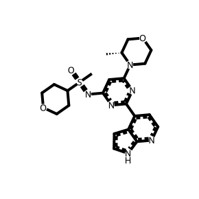 C[C@@H]1COCCN1c1cc(N=S(C)(=O)C2CCOCC2)nc(-c2ccnc3[nH]ccc23)n1